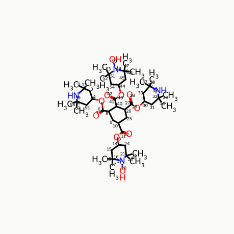 CC1(C)CC(OC(=O)C2CC(C(=O)OC3CC(C)(C)N(O)C(C)(C)C3)CC(C(=O)OC3CC(C)(C)NC(C)(C)C3)C2C(=O)OC2CC(C)(C)N(O)C(C)(C)C2)CC(C)(C)N1